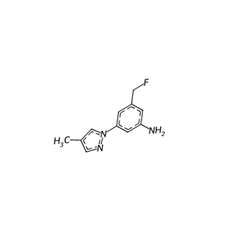 Cc1cnn(-c2cc(N)cc(CF)c2)c1